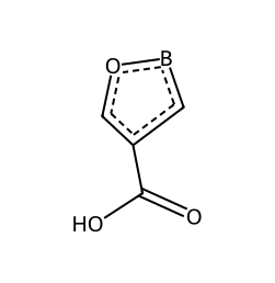 O=C(O)c1cboc1